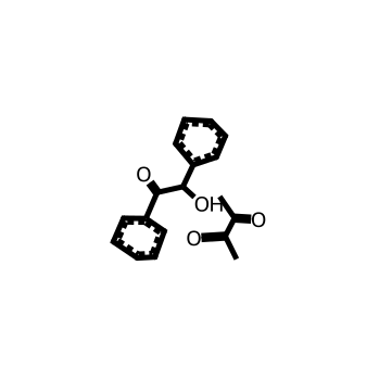 CC(=O)C(C)=O.O=C(c1ccccc1)C(O)c1ccccc1